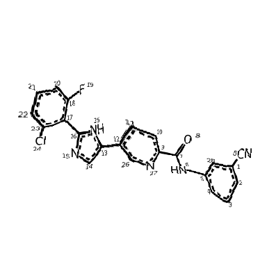 N#Cc1cccc(NC(=O)c2ccc(-c3cnc(-c4c(F)cccc4Cl)[nH]3)cn2)c1